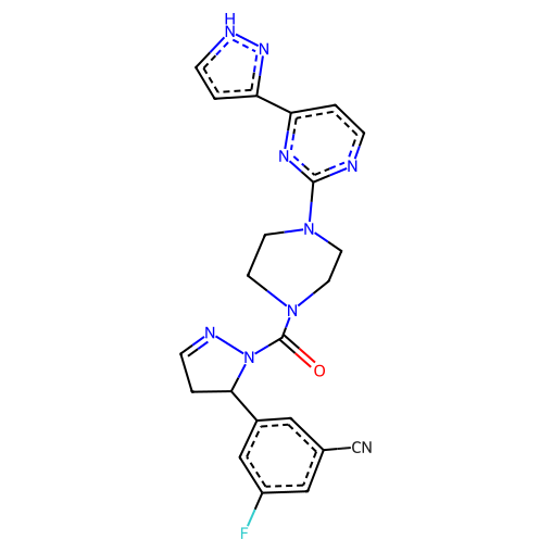 N#Cc1cc(F)cc(C2CC=NN2C(=O)N2CCN(c3nccc(-c4cc[nH]n4)n3)CC2)c1